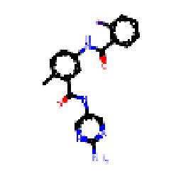 Cc1ccc(NC(=O)c2ccccc2I)cc1C(=O)Nc1cnc(N)nc1